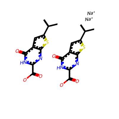 CC(C)c1cc2c(=O)[nH]c(C(=O)[O-])nc2s1.CC(C)c1cc2c(=O)[nH]c(C(=O)[O-])nc2s1.[Na+].[Na+]